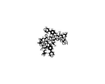 CC(C)C[C@@H](C(=O)O[C@H](C)C(=O)N(C)[C@@H](CC(C)(C)F)C(=O)O[C@H](Cc1ccc(C2CCOCC2)cc1)C(=O)N(C)[C@@H](CC(C)C)C(=O)O[C@H](C)C(=O)O)N(C)C(=O)[C@@H](Cc1ccc(C2CCOCC2)cc1)OC(=O)[C@H](CCC(C)(C)F)N(C)C(=O)OC(C)(C)C